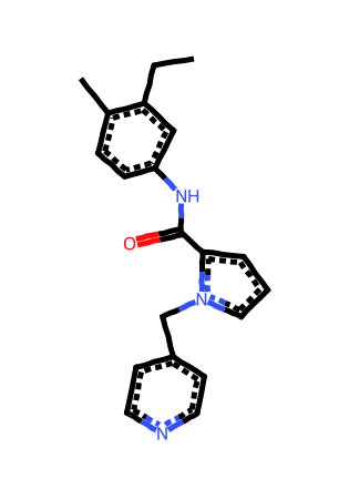 CCc1cc(NC(=O)c2cccn2Cc2ccncc2)ccc1C